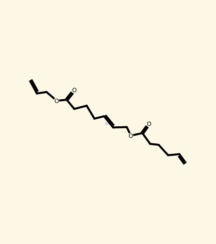 C=CCCCC(=O)OC/C=C/CCCC(=O)OCC=C